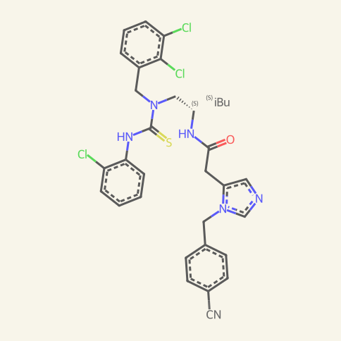 CC[C@H](C)[C@@H](CN(Cc1cccc(Cl)c1Cl)C(=S)Nc1ccccc1Cl)NC(=O)Cc1cncn1Cc1ccc(C#N)cc1